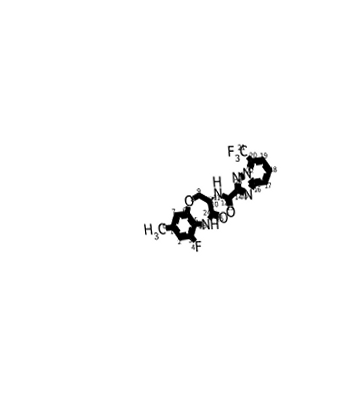 Cc1cc(F)c2c(c1)OC[C@H](NC(=O)c1nc3cccc(C(F)(F)F)n3n1)C(=O)N2